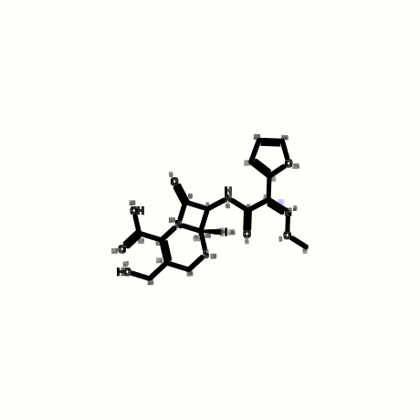 CO/N=C(\C(=O)NC1C(=O)N2C(C(=O)O)=C(CO)CS[C@@H]12)c1ccco1